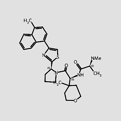 CN[C@@H](C)C(=O)N[C@H](C(=O)N1CCC[C@H]1c1nc(-c2ccc(C)c3ccccc23)cs1)C1(C)CCOCC1